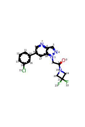 O=C(Cn1ncc2ncc(-c3cccc(Cl)c3)cc21)N1CC(F)(F)C1